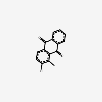 Cc1c(Cl)ccc2c1C(=O)c1ccccc1C2=O